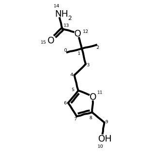 CC(C)(CCc1ccc(CO)o1)OC(N)=O